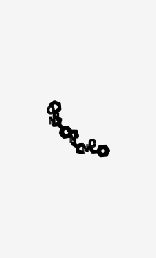 O=C(Cc1ccccc1)N1CCC(Cn2ccc3cc(-c4cnn(C5CCCCO5)c4)ccc32)C1